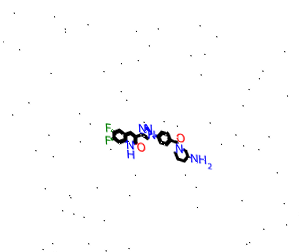 N[C@@H]1CCCN(C(=O)c2ccc(-n3cc(-c4cc5cc(F)c(F)cc5[nH]c4=O)nn3)cc2)C1